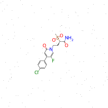 CS(=O)(=O)[C@H](CCn1cc(F)c(-c2ccc(Cl)cc2)cc1=O)C(N)=O